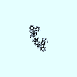 Cn1c(CCCCC2(C(=O)NCC(F)(F)F)c3ccccc3-c3ccccc32)nc2ccc(NC(=O)c3ccccc3-c3ccc(C(F)(F)F)cc3)cc21